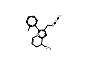 CC1CC=Cn2c1cc(CN=[N+]=[N-])c2-c1ccccc1F